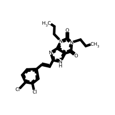 CCCn1c(=O)c2[nH]c(C=Cc3ccc(Cl)c(Cl)c3)nc2n(CCC)c1=O